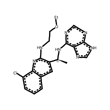 CCOCCNc1nc2c(Cl)cccc2cc1[C@H](C)Nc1ncnc2[nH]cnc12